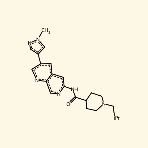 CC(C)CN1CCC(C(=O)Nc2cc3cc(-c4cnn(C)c4)cnc3cn2)CC1